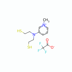 C[n+]1cccc(N(CCS)CCS)c1.O=C([O-])C(F)(F)F